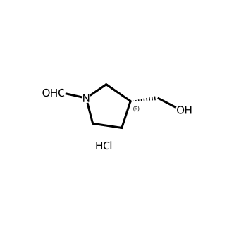 Cl.O=CN1CC[C@@H](CO)C1